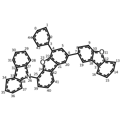 c1ccc(-c2cc(-c3ccc4oc5ccccc5c4c3)cc3c2oc2c(-n4c5ccccc5c5ccccc54)cccc23)cc1